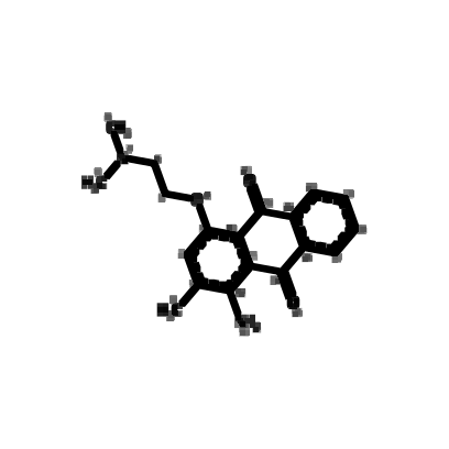 Cc1cc(OCCN(C)C)c2c(c1N)C(=O)c1ccccc1C2=O